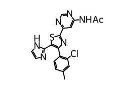 CC(=O)Nc1cc(-c2nc(-c3ccc(C)cc3Cl)c(-c3ncc[nH]3)s2)ncn1